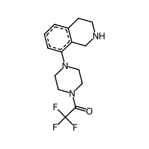 O=C(N1CCN(c2cccc3c2CNCC3)CC1)C(F)(F)F